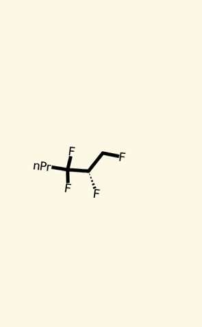 [CH2]CCC(F)(F)[C@@H](F)CF